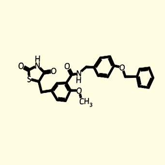 COc1ccc(CC2SC(=O)NC2=O)cc1C(=O)NCc1ccc(OCc2ccccc2)cc1